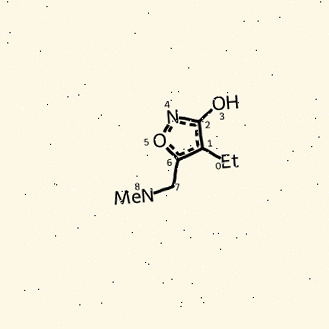 CCc1c(O)noc1CNC